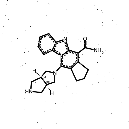 NC(=O)c1c2c(c(N3C[C@H]4CNC[C@H]4C3)n3c1nc1ccccc13)CCC2